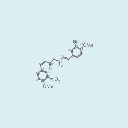 COc1ccc(C=C[S+]([O-])CC(=O)/C=C\c2ccc(OC)c([N+](=O)[O-])c2)cc1[N+](=O)[O-]